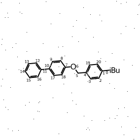 CCC(C)c1ccc(COc2ccc(-c3ccccc3)cc2)cc1